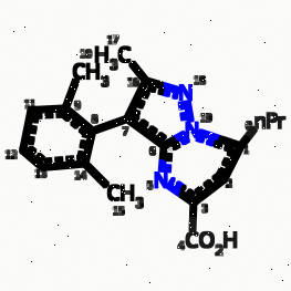 CCCc1cc(C(=O)O)nc2c(-c3c(C)cccc3C)c(C)nn12